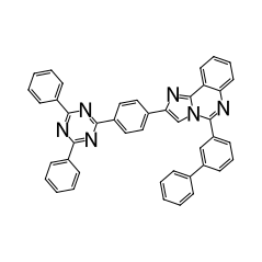 c1ccc(-c2cccc(-c3nc4ccccc4c4nc(-c5ccc(-c6nc(-c7ccccc7)nc(-c7ccccc7)n6)cc5)cn34)c2)cc1